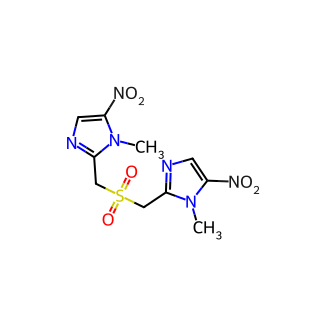 Cn1c([N+](=O)[O-])cnc1CS(=O)(=O)Cc1ncc([N+](=O)[O-])n1C